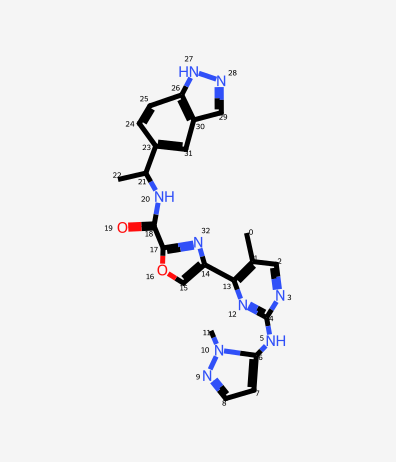 Cc1cnc(Nc2ccnn2C)nc1-c1coc(C(=O)NC(C)c2ccc3[nH]ncc3c2)n1